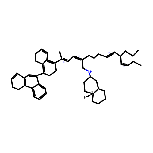 CC/C=C\C(/C=C/CCC/C(=C/C=C(\C)C1=C2C=CCCC2=C(c2cc3c(c4ccccc24)CCC=C3)CC1)CNC1CC[C@H]2CCCCC2C1)CCC